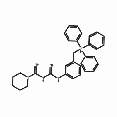 N=C(NC(=N)N1CCCCC1)Nc1cccc(C[PH](c2ccccc2)(c2ccccc2)c2ccccc2)c1